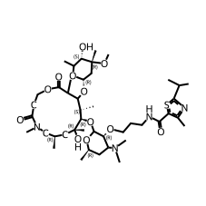 CO[C@]1(C)C[C@H](OC2C(C)C(=O)OCCC(=O)N(C)C[C@H](C)C[C@@](C)(O)[C@H](OC3O[C@H](C)CC(N(C)C)[C@H]3OCCCNC(=O)c3sc(C(C)C)nc3C)[C@H]2C)OC(C)[C@@H]1O